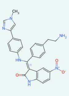 Cn1cnc(-c2ccc(N/C(=C3\C(=O)Nc4ccc([N+](=O)[O-])cc43)c3ccc(CCN)cc3)cc2)c1